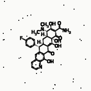 CN(C)[C@@H]1C(O)=C(C(N)=O)C(=O)[C@@]2(O)C(O)=C3C(=O)c4c(cc5cccnc5c4O)[C@H](c4ccc(F)cc4)[C@H]3C[C@@H]12